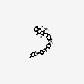 Cc1ccc2nc(-c3ccc4nc(-c5ccc(NS(=O)(=O)C6(C)C=CC=C(Oc7cc(O)c8c(c7N)C(=O)c7ccccc7C8=O)C=C6)cc5)sc4c3)sc2c1